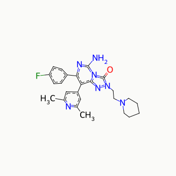 Cc1cc(-c2c(-c3ccc(F)cc3)nc(N)n3c(=O)n(CCN4CCCCC4)nc23)cc(C)n1